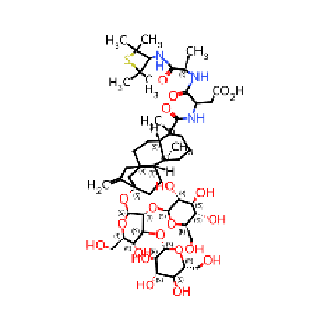 C=C1C[C@@]23CC[C@H]4[C@@](C)(CCC[C@@]4(C)C(=O)NC(CC(=O)O)C(=O)N[C@H](C)C(=O)NC4C(C)(C)SC4(C)C)[C@@H]2CC[C@]1(O[C@@H]1O[C@H](CO)[C@@H](O)[C@H](O[C@@H]2O[C@H](CO)[C@@H](O)[C@H](O)[C@H]2O)[C@H]1O[C@@H]1O[C@H](CO)[C@@H](O)[C@H](O)[C@H]1O)C3